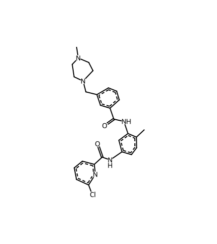 Cc1ccc(NC(=O)c2cccc(Cl)n2)cc1NC(=O)c1cccc(CN2CCN(C)CC2)c1